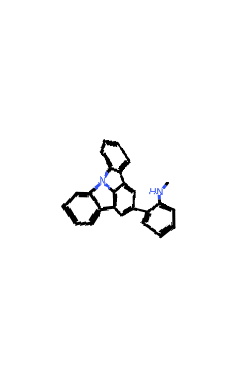 CNc1ccccc1-c1cc2c3ccccc3n3c4ccccc4c(c1)c23